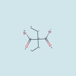 CCC(CC)(C(=O)Br)C(=O)Br